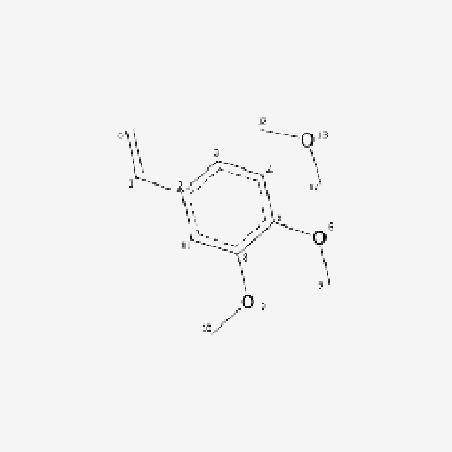 C=Cc1ccc(OC)c(OC)c1.COC